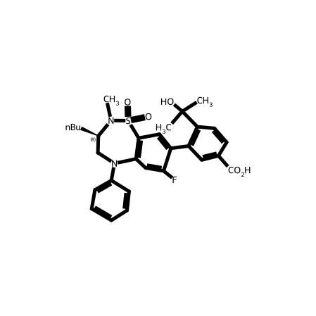 CCCC[C@@H]1CN(c2ccccc2)c2cc(F)c(-c3cc(C(=O)O)ccc3C(C)(C)O)cc2S(=O)(=O)N1C